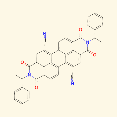 CC(c1ccccc1)N1C(=O)c2ccc3c4c(C#N)cc5c6c(ccc(c7c(C#N)cc(c2c37)C1=O)c64)C(=O)N(C(C)c1ccccc1)C5=O